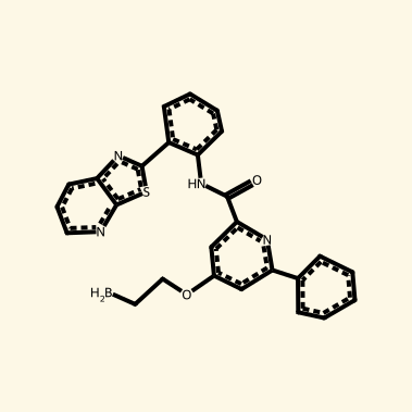 BCCOc1cc(C(=O)Nc2ccccc2-c2nc3cccnc3s2)nc(-c2ccccc2)c1